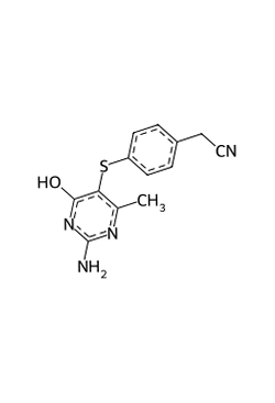 Cc1nc(N)nc(O)c1Sc1ccc(CC#N)cc1